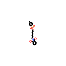 Cc1ccc(S(=O)(=O)OCCCCCCCN2C(=O)c3ccccc3C2=O)cc1